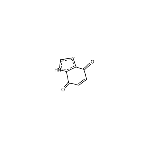 O=C1C=CC(=O)c2[nH]c[c]c21